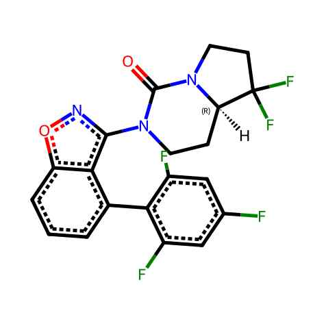 O=C1N(c2noc3cccc(-c4c(F)cc(F)cc4F)c23)CC[C@H]2N1CCC2(F)F